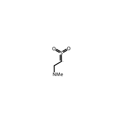 CNC[C]=S(=O)=O